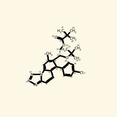 Cc1cc2c(ccc3nnnn32)c(-c2ccc(Cl)cc2)c1[C@H](COC(=O)C(C)(C)C)OC(C)(C)C